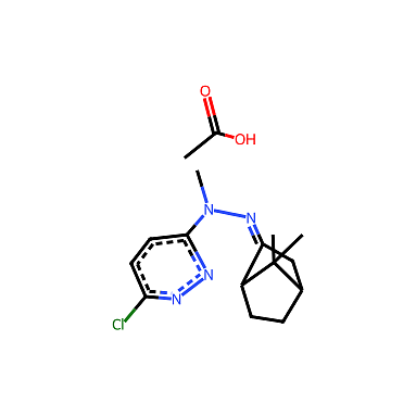 CC(=O)O.CN(N=C1CC2CCC1C2(C)C)c1ccc(Cl)nn1